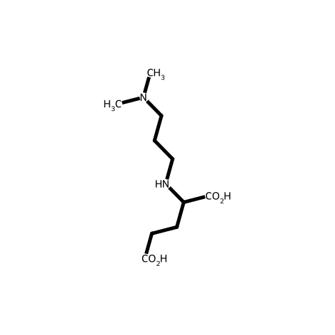 CN(C)CCCNC(CCC(=O)O)C(=O)O